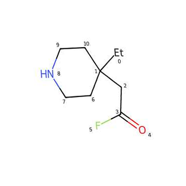 CCC1(CC(=O)F)CCNCC1